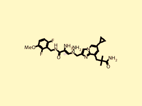 COc1ccc(F)c(CNC(=O)/C(N)=C/N(N)Cc2cn3cc(C4CC4)cc(CC(C)(C)C(N)=O)c3n2)c1F